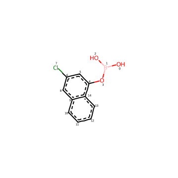 OB(O)Oc1cc(Cl)cc2ccccc12